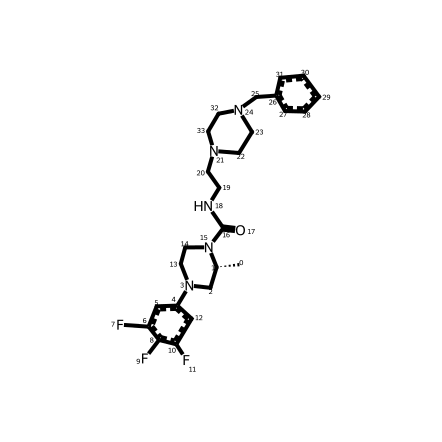 C[C@@H]1CN(c2cc(F)c(F)c(F)c2)CCN1C(=O)NCCN1CCN(Cc2ccccc2)CC1